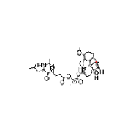 COc1ccc2c3c1O[C@H]1C(OC(=O)[C@H](C)OC(=O)CCNC(=O)[C@H](CC(C)C)NC(C)=O)=CC[C@@]4(O)[C@H](CCC[C@]314)C2